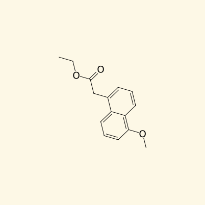 CCOC(=O)Cc1cccc2c(OC)cccc12